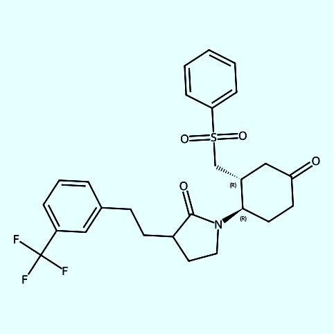 O=C1CC[C@@H](N2CCC(CCc3cccc(C(F)(F)F)c3)C2=O)[C@H](CS(=O)(=O)c2ccccc2)C1